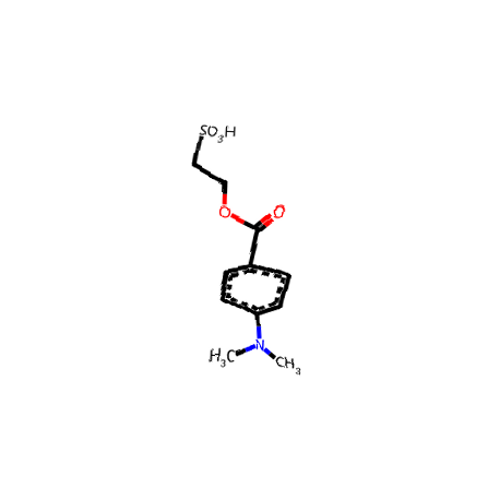 CN(C)c1ccc(C(=O)OCCS(=O)(=O)O)cc1